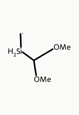 [CH2][SiH2]C(OC)OC